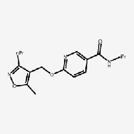 CCCc1noc(C)c1COc1ccc(C(=O)NC(C)C)cn1